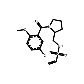 C=CS(=O)(=O)NCC1CCCN1C(=O)c1cc(Cl)ccc1OC